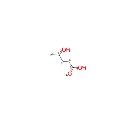 [CH2]C(O)CCC(=O)O